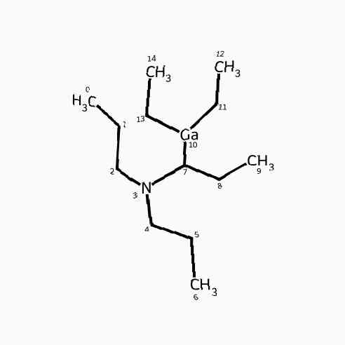 CCCN(CCC)[CH](CC)[Ga]([CH2]C)[CH2]C